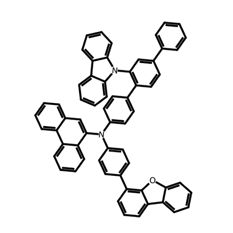 c1ccc(-c2ccc(-c3ccc(N(c4ccc(-c5cccc6c5oc5ccccc56)cc4)c4cc5ccccc5c5ccccc45)cc3)c(-n3c4ccccc4c4ccccc43)c2)cc1